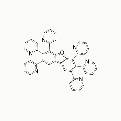 c1ccc(-c2cc3c(oc4c(-c5ccccn5)c(-c5ccccn5)c(-c5ccccn5)cc43)c(-c3ccccn3)c2-c2ccccn2)nc1